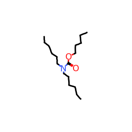 CCCCCCN(CCCCCC)C(=O)OCCCCC